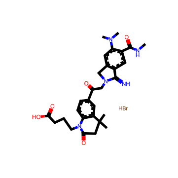 Br.CNC(=O)c1cc2c(cc1N(C)C)CN(CC(=O)c1ccc3c(c1)C(C)(C)CC(=O)N3CCCC(=O)O)C2=N